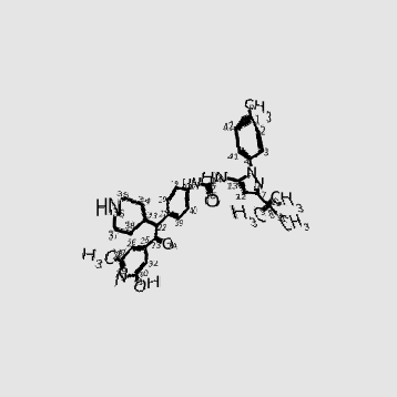 Cc1ccc(-n2nc(C(C)(C)C)cc2NC(=O)Nc2ccc(C(C(=O)c3cc(C)nc(O)c3)C3CCNCC3)cc2)cc1